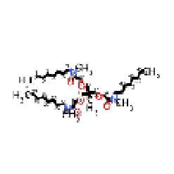 CCCCCCCCN(C)C(=O)COCC(C)(COCC(=O)N(C)CCCCCCCC)COCC(=O)N(C)CCCCCCCC